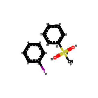 Ic1ccccc1.N#CS(=O)(=O)c1ccccc1